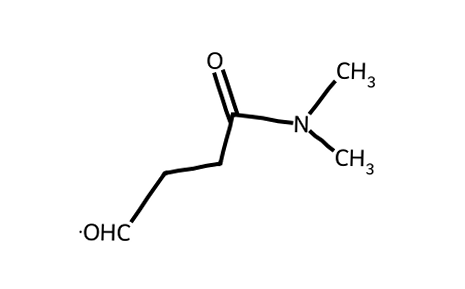 CN(C)C(=O)CC[C]=O